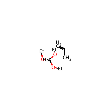 C=CC.CCO[SiH](OCC)OCC